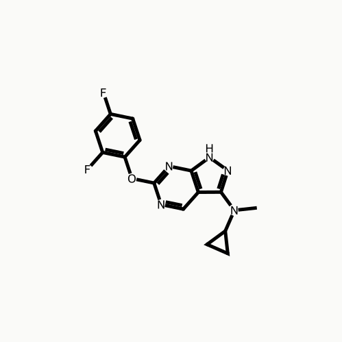 CN(c1n[nH]c2nc(Oc3ccc(F)cc3F)ncc12)C1CC1